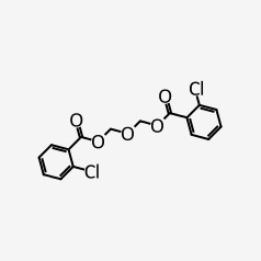 O=C(OCOCOC(=O)c1ccccc1Cl)c1ccccc1Cl